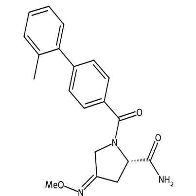 CON=C1C[C@@H](C(N)=O)N(C(=O)c2ccc(-c3ccccc3C)cc2)C1